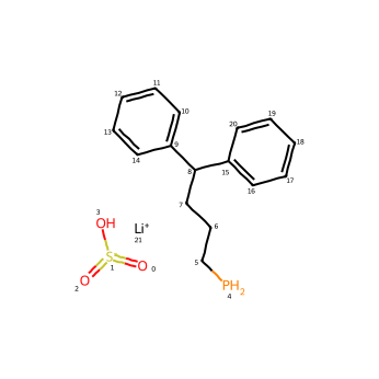 O=[S-](=O)O.PCCCC(c1ccccc1)c1ccccc1.[Li+]